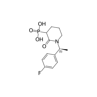 C[C@@H](c1ccc(F)cc1)N1CCCC(P(=O)(O)O)C1=O